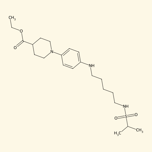 CCOC(=O)C1CCN(c2ccc(NCCCCCNS(=O)(=O)C(C)C)cc2)CC1